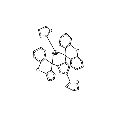 c1coc(-c2cc3c(s2)C2(c4ccccc4Oc4ccccc42)c2cc(-c4ccco4)sc2C32c3ccccc3Oc3ccccc32)c1